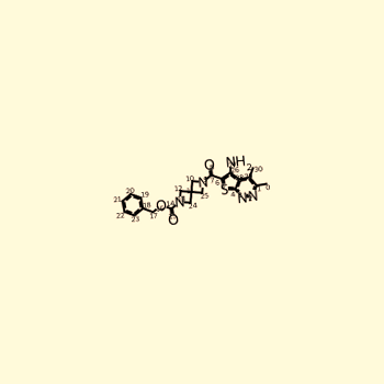 Cc1nnc2sc(C(=O)N3CC4(CN(C(=O)OCc5ccccc5)C4)C3)c(N)c2c1C